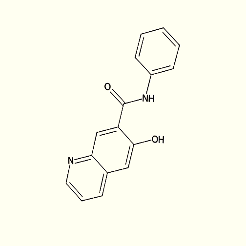 O=C(Nc1ccccc1)c1cc2ncccc2cc1O